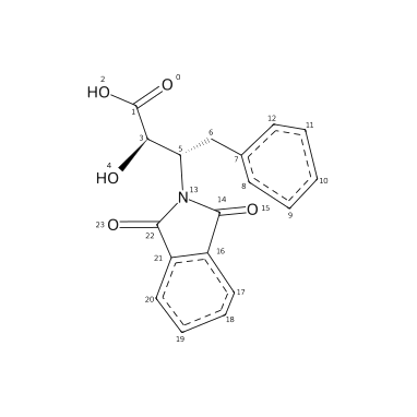 O=C(O)[C@H](O)[C@H](Cc1ccccc1)N1C(=O)c2ccccc2C1=O